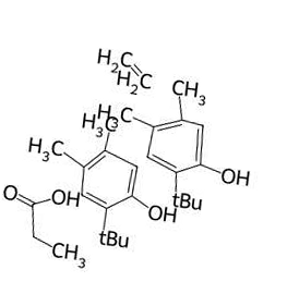 C=C.CCC(=O)O.Cc1cc(O)c(C(C)(C)C)cc1C.Cc1cc(O)c(C(C)(C)C)cc1C